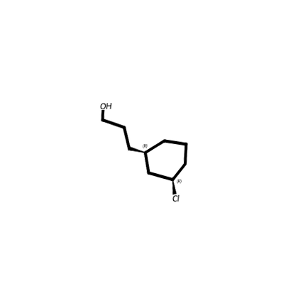 OCCC[C@H]1CCC[C@@H](Cl)C1